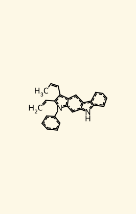 C=Cc1c(/C=C\C)c2cc3c(cc2n1-c1ccccc1)[nH]c1ccccc13